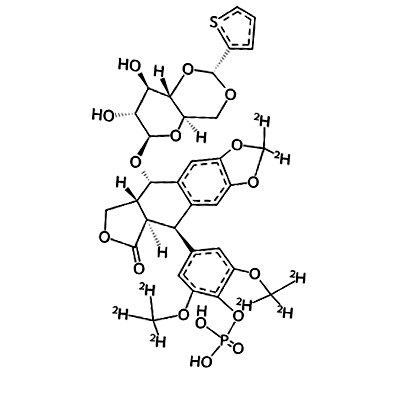 [2H]C([2H])([2H])Oc1cc([C@@H]2c3cc4c(cc3[C@@H](O[C@@H]3O[C@@H]5CO[C@@H](c6cccs6)O[C@H]5[C@H](O)[C@H]3O)[C@H]3COC(=O)[C@H]23)OC([2H])([2H])O4)cc(OC([2H])([2H])[2H])c1OP(=O)(O)O